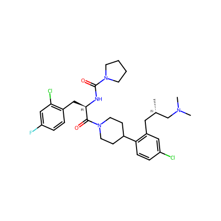 C[C@@H](Cc1cc(Cl)ccc1C1CCN(C(=O)[C@@H](Cc2ccc(F)cc2Cl)NC(=O)N2CCCC2)CC1)CN(C)C